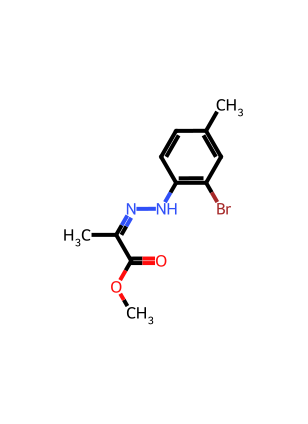 COC(=O)C(C)=NNc1ccc(C)cc1Br